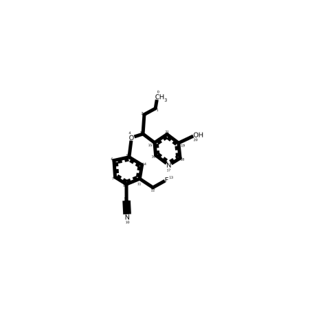 CCCC(Oc1ccc(C#N)c(CF)c1)c1cncc(O)c1